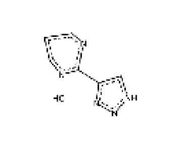 Cl.c1cnc(-c2c[nH]nn2)nc1